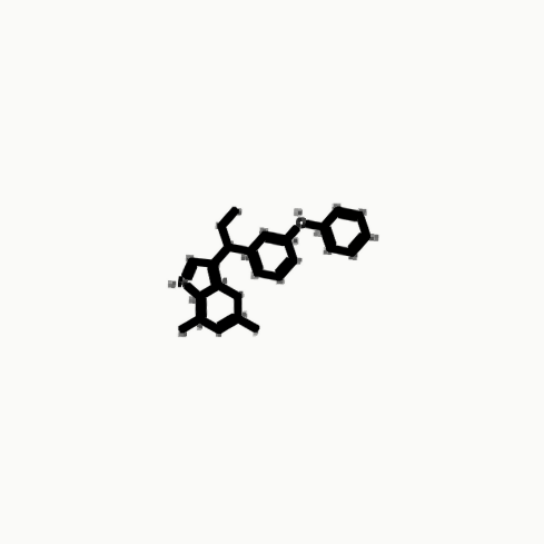 [CH2]CC(C1=C2CC(C)=CC(C)=C2N=C1)c1cccc(Oc2ccccc2)c1